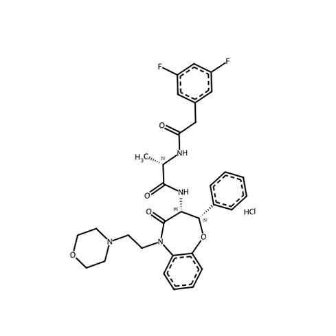 C[C@H](NC(=O)Cc1cc(F)cc(F)c1)C(=O)N[C@H]1C(=O)N(CCN2CCOCC2)c2ccccc2O[C@H]1c1ccccc1.Cl